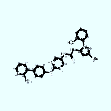 Cc1ccccc1-n1nc(C(C)(C)C)cc1NC(=O)Nc1cnc(Oc2ccc(-c3cccnc3N)cc2)nc1